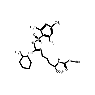 Cc1cc(C)c(S(=O)(=O)NC(N)=NCCC[C@@H](NC(=O)OC(C)(C)C)C(=O)O)c(C)c1.NC1CCCCC1